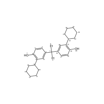 CCC(CC)(c1ccc(O)c(C2CCCCC2)c1)c1ccc(O)c(C2CCCCC2)c1